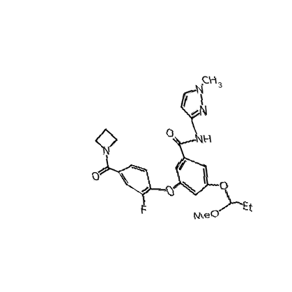 CCC(OC)Oc1cc(Oc2ccc(C(=O)N3CCC3)cc2F)cc(C(=O)Nc2ccn(C)n2)c1